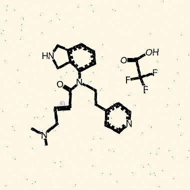 CN(C)C/C=C/C(=O)N(CCc1ccncc1)c1cccc2c1CNC2.O=C(O)C(F)(F)F